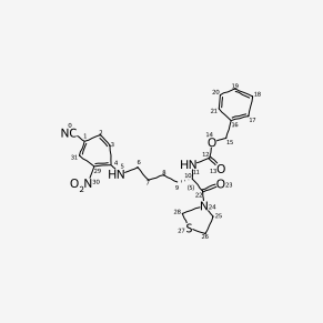 N#Cc1ccc(NCCCC[C@H](NC(=O)OCc2ccccc2)C(=O)N2CCSC2)c([N+](=O)[O-])c1